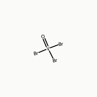 [O]=[V]([Br])([Br])[Br]